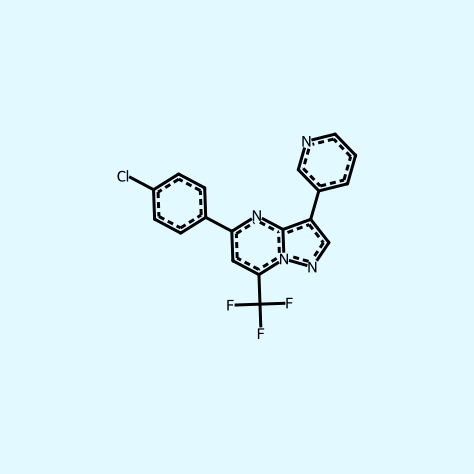 FC(F)(F)c1cc(-c2ccc(Cl)cc2)nc2c(-c3cccnc3)cnn12